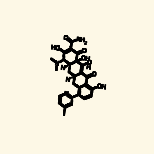 Cc1ccnc(-c2ccc(O)c3c2C[C@H]2C[C@H]4[C@@H](N(C)C)C(O)=C(C(N)=O)C(=O)[C@]4(O)C(O)=C2C3=O)c1